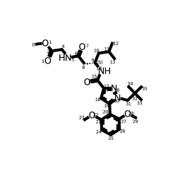 COC(=O)CNC(=O)C[C@H](CC(C)C)NC(=O)c1cc(-c2c(OC)cccc2OC)n(CC(C)(C)C)n1